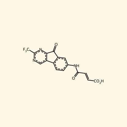 O=C(O)/C=C/C(=O)Nc1ccc2c(c1)C(=O)c1nc(C(F)(F)F)ncc1-2